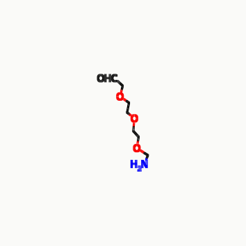 NCOCCOCCOCC=O